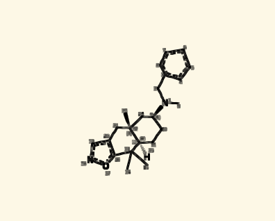 CN(Cc1ccccc1)[C@H]1CC[C@H]2C(C)(C)c3oncc3C[C@]2(C)C1